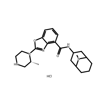 C[C@@H]1CNCCN1c1nc2c(C(=O)NC3CC4CCCC(C3)N4C)cccc2o1.Cl